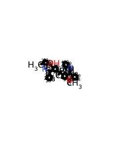 COc1ccc(C(C)(C)c2ccc(CO)c(C(=C=Nc3ccccc3C)c3ccccc3)c2)cc1C(=C=Nc1ccccc1C)c1ccccc1